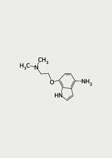 CN(C)CCOc1ccc(N)c2cc[nH]c12